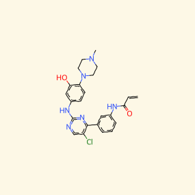 C=CC(=O)Nc1cccc(-c2nc(Nc3ccc(N4CCN(C)CC4)c(O)c3)ncc2Cl)c1